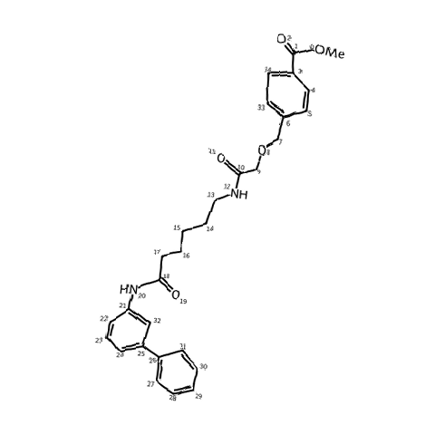 COC(=O)c1ccc(COCC(=O)NCCCCCC(=O)Nc2cccc(-c3ccccc3)c2)cc1